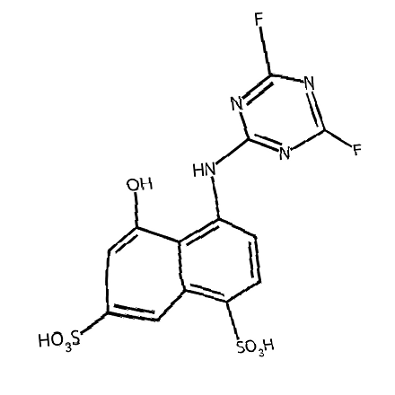 O=S(=O)(O)c1cc(O)c2c(Nc3nc(F)nc(F)n3)ccc(S(=O)(=O)O)c2c1